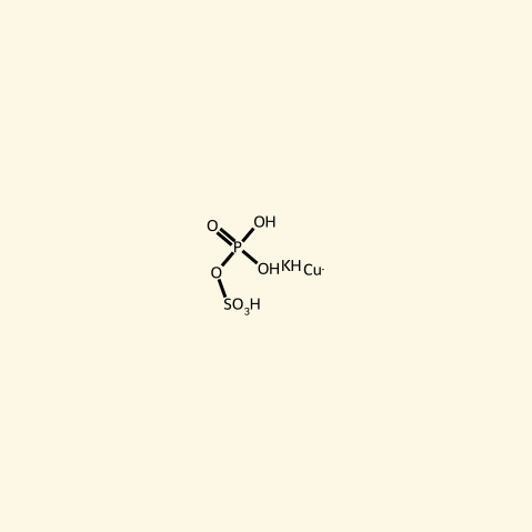 O=P(O)(O)OS(=O)(=O)O.[Cu].[KH]